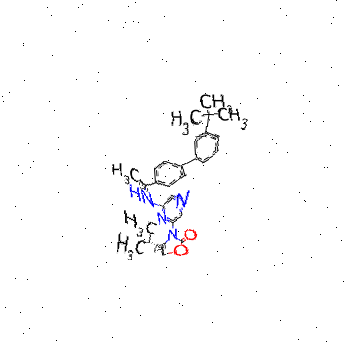 CC(C)[C@H]1COC(=O)N1c1cncc(N[C@@H](C)c2ccc(-c3cccc(C(C)(C)C)c3)cc2)n1